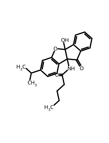 CCCCC(=O)NC12C(=O)c3ccccc3C1(O)Oc1cc(C(C)C)ccc12